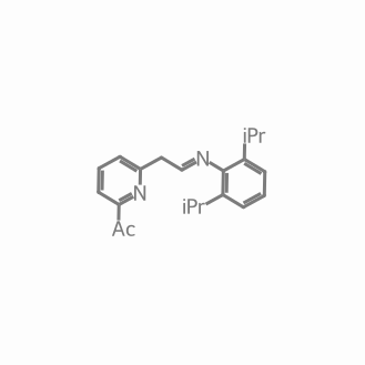 CC(=O)c1cccc(CC=Nc2c(C(C)C)cccc2C(C)C)n1